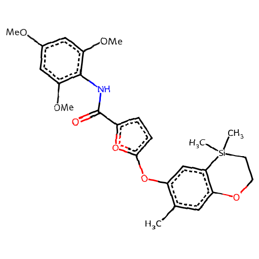 COc1cc(OC)c(NC(=O)c2ccc(Oc3cc4c(cc3C)OCC[Si]4(C)C)o2)c(OC)c1